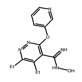 CCc1nnc(Oc2cccnc2)c(C(=N)NO)c1CC